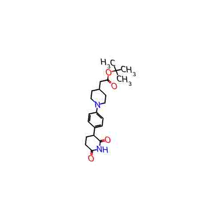 CC(C)(C)OC(=O)CC1CCN(c2ccc(C3CCC(=O)NC3=O)cc2)CC1